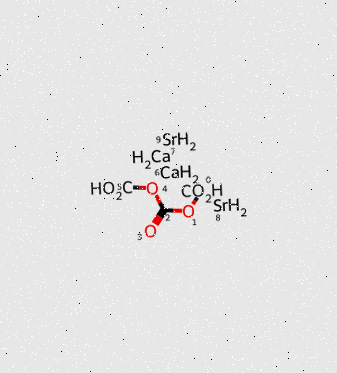 O=C(O)OC(=O)OC(=O)O.[CaH2].[CaH2].[SrH2].[SrH2]